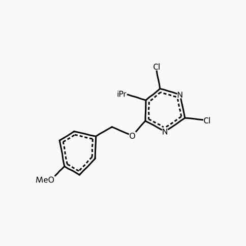 COc1ccc(COc2nc(Cl)nc(Cl)c2C(C)C)cc1